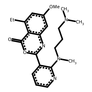 CCc1cc(OC)cc2nc(-c3cccnc3N(C)CCCN(C)C)oc(=O)c12